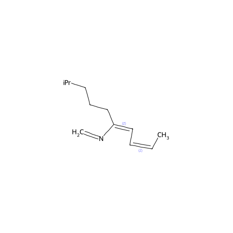 C=N/C(=C\C=C/C)CCCC(C)C